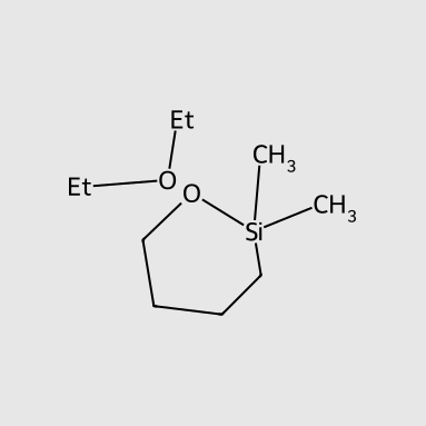 CCOCC.C[Si]1(C)CCCCO1